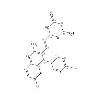 Cc1nc2ccc(Cl)cc2c(-c2ccc(F)cc2)c1/C=C/C1CC(O)CC(=O)O1